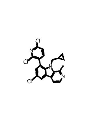 Cc1nccc2c3cc(Cl)cc(-c4ccc(Cl)nc4Cl)c3n(CC3CC3)c12